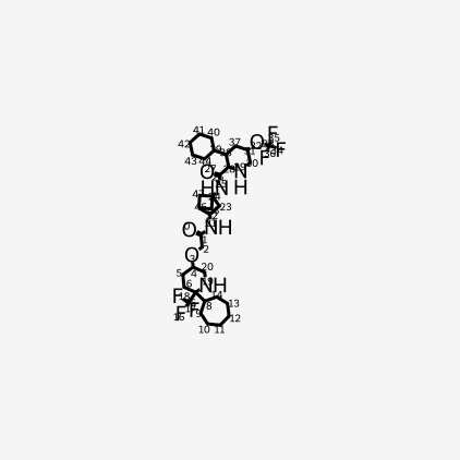 O=C(COC1CCC(C2CCCCCC2)(C(F)(F)F)NC1)NC1CC2(NC(=O)C3NCC(OC(F)(F)F)CC3C3CCCCC3)CC1C2